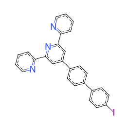 Ic1ccc(-c2ccc(-c3cc(-c4ccccn4)nc(-c4ccccn4)c3)cc2)cc1